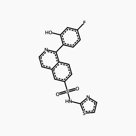 O=S(=O)(Nc1nccs1)c1ccc2c(-c3ccc(F)cc3O)nccc2c1